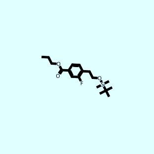 CCCOC(=O)c1ccc(CCO[Si](C)(C)C(C)(C)C)c(F)c1